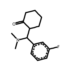 CN(C)C(c1cccc(F)c1)C1CCCCC1=O